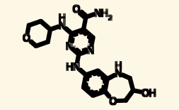 NC(=O)c1cnc(Nc2ccc3c(c2)NCC(O)CO3)nc1NC1CCOCC1